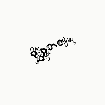 COc1ccc(CN2C(=O)CCC(n3c(=O)n(C)c4c(N5CCC(CCN6CCC(OC(N)=O)CC6)CC5)cccc43)C2=O)cc1